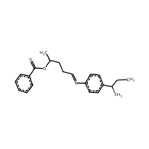 CCC(C)c1ccc(N=CCCC(C)OC(=O)c2ccccc2)cc1